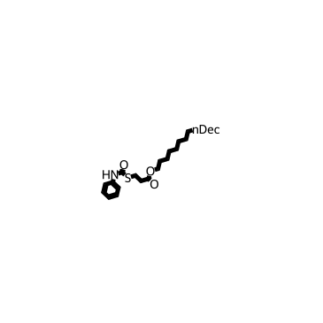 CCCCCCCCCCCCCCCCCCOC(=O)CCSC(=O)Nc1ccccc1